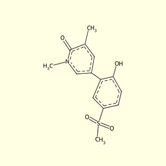 Cc1cc(-c2cc(S(C)(=O)=O)ccc2O)cn(C)c1=O